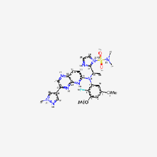 COc1cc(OC)c(F)c(N(c2ccc3ncc(-c4cnn(C)c4)nc3n2)C(C)c2nccn2S(=O)(=O)N(C)C)c1